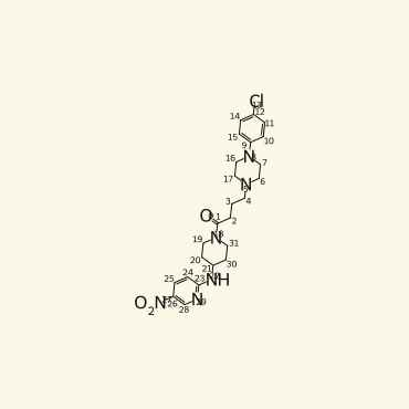 O=C(CCCN1CCN(c2ccc(Cl)cc2)CC1)N1CCC(Nc2ccc([N+](=O)[O-])cn2)CC1